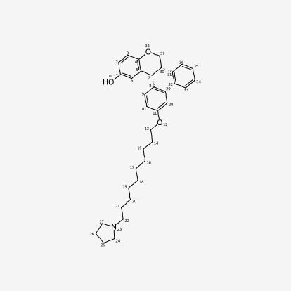 Oc1ccc2c(c1)[C@@H](c1ccc(OCCCCCCCCCCN3CCCC3)cc1)[C@@H](c1ccccc1)CO2